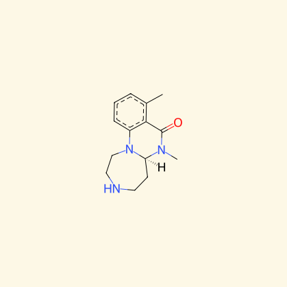 Cc1cccc2c1C(=O)N(C)[C@H]1CCNCCN21